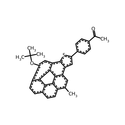 CC(=O)c1ccc(-c2cc3c4cc(C)c5ccc6ccc7c(OC(C)(C)C)cc(c3s2)c2c7c6c5c42)cc1